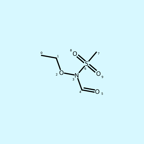 CCON(C=O)S(C)(=O)=O